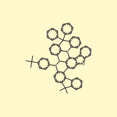 CC(C)(C)c1ccc(N2B3c4cccc5c4N(c4ccccc4C5(c4ccccc4)c4ccccc4)c4c3c(cc3oc5ccccc5c43)-c3c2ccc2c3-c3ccccc3C2(C)C)cc1